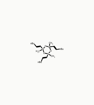 CCCCC=C[Si]1(C)O[Si](C)(C=CCCCC)O[Si](C)(C=CCCCC)O1